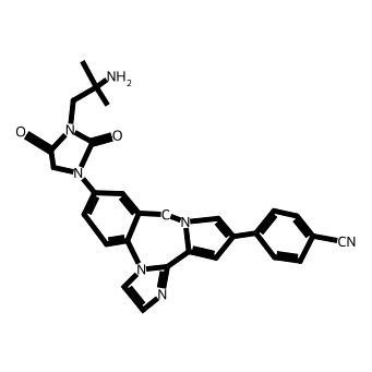 CC(C)(N)CN1C(=O)CN(c2ccc3c(c2)Cn2cc(-c4ccc(C#N)cc4)cc2-c2nccn2-3)C1=O